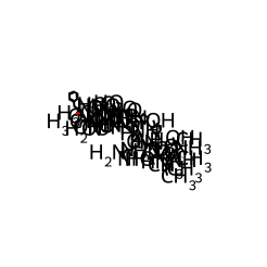 CC[C@H](C)[C@H](NC(=O)[C@@H](NC(=O)[C@H](Cc1ccc(O)cc1)NC(=O)[C@H](CCCNC(=N)N)NC(=O)[C@H](CCCNC(=N)N)NC(=O)[C@@H]1CCCN1C(=O)CNC(=O)[C@H](CO)NC(=O)[C@H](CC(=O)O)NC(=O)[C@H](CC(N)=O)NC(=O)[C@H](C)NC(=O)[C@@H](NC(=O)[C@@H](N)Cc1ccccc1)[C@@H](C)O)[C@@H](C)O)C(=O)N[C@@H](C)C(=O)N[C@@H](C)C(=O)O